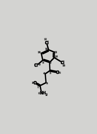 NC(=O)CCC(=O)c1c(Cl)cc(Cl)cc1Cl